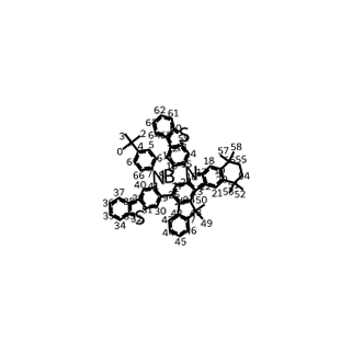 CC(C)(C)c1ccc(N2B3c4cc5c(cc4-n4c6cc7c(cc6c6c8c(c(c3c64)-c3cc4sc6ccccc6c4cc32)-c2ccccc2C8(C)C)C(C)(C)CCC7(C)C)sc2ccccc25)cc1